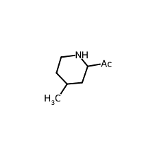 CC(=O)C1CC(C)CCN1